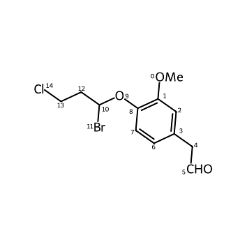 COc1cc(CC=O)ccc1OC(Br)CCCl